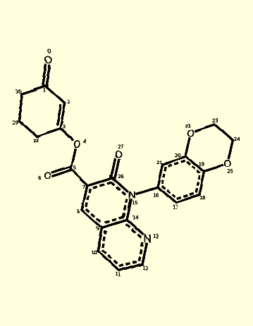 O=C1C=C(OC(=O)c2cc3cccnc3n(-c3ccc4c(c3)OCCO4)c2=O)CCC1